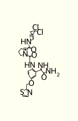 N=C(C(N)=O)c1cc(OCc2nccs2)ccc1NCC(=O)N1CCC[C@H]1C(=O)NC[C@H]1CC1(Cl)Cl